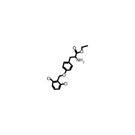 CCOC(=O)C(N)Cc1ccc(OCc2c(Cl)cccc2Cl)cc1